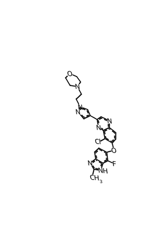 Cc1nc2ccc(Oc3ccc4ncc(-c5cnn(CCN6CCOCC6)c5)nc4c3Cl)c(F)c2[nH]1